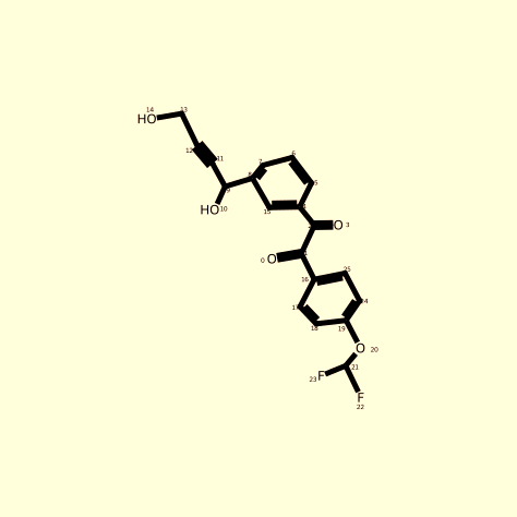 O=C(C(=O)c1cccc(C(O)C#CCO)c1)c1ccc(OC(F)F)cc1